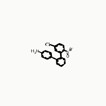 Nc1ccc(-c2ccccc2-c2cc(Cl)ccc2[N+](=O)[O-])cc1